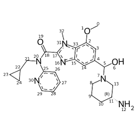 COc1cc(C(O)N2CCC[C@@H](N)C2)cc2nc(C(=O)N(CC3CC3)c3ccccn3)n(C)c12